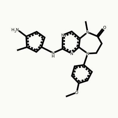 COc1ccc(N2CCC(=O)N(C)c3cnc(Nc4ccc(N)c(C)c4)nc32)cc1